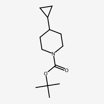 CC(C)(C)OC(=O)N1CCC(C2CC2)CC1